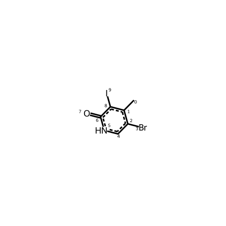 Cc1c(Br)c[nH]c(=O)c1I